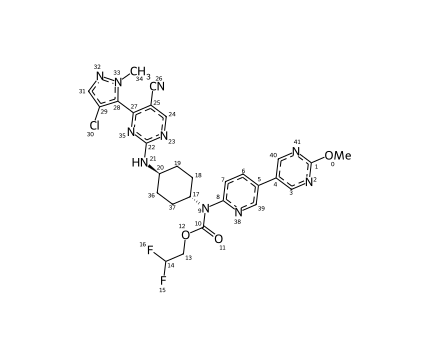 COc1ncc(-c2ccc(N(C(=O)OCC(F)F)[C@H]3CC[C@H](Nc4ncc(C#N)c(-c5c(Cl)cnn5C)n4)CC3)nc2)cn1